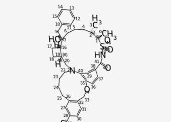 C[C@@H]1[C@@H](C)CCC[C@](O)(Cc2ccccc2)[C@@H]2CC[C@H]2CN2CCCCc3cc(Cl)ccc3COc3ccc(cc32)C(=O)NS1(=O)=O